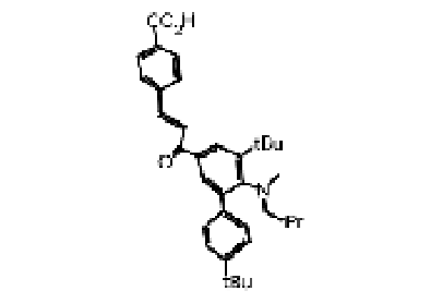 CC(C)CN(C)c1c(-c2ccc(C(C)(C)C)cc2)cc(C(=O)/C=C/c2ccc(C(=O)O)cc2)cc1C(C)(C)C